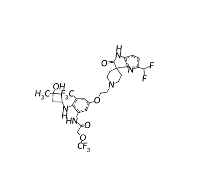 CC1(O)CC(Nc2c(NC(=O)COC(F)(F)F)cc(OCCN3CCC4(CC3)C(=O)Nc3ccc(C(F)F)nc34)cc2C(F)(F)F)C1